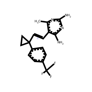 Cc1nc(N)nc(N)c1/C=C/C1(c2ccc(C(F)(F)F)cc2)CC1